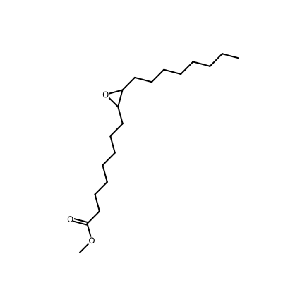 CCCCCCCCC1OC1CCCCCCCC(=O)OC